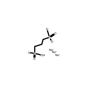 O=P([O-])([O-])CCCP(=O)([O-])O.[Na+].[Na+].[Na+]